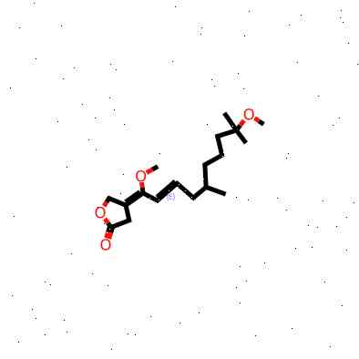 COC(/C=C/CC(C)CCCC(C)(C)OC)=C1COC(=O)C1